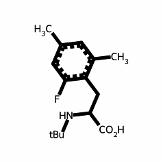 Cc1cc(C)c(CC(NC(C)(C)C)C(=O)O)c(F)c1